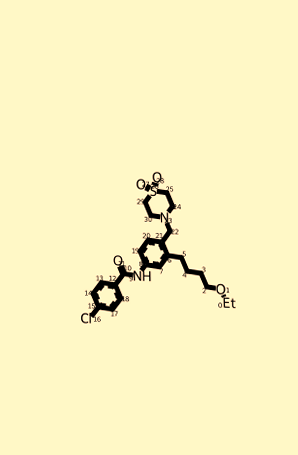 CCOCCCCc1cc(NC(=O)c2ccc(Cl)cc2)ccc1CN1CCS(=O)(=O)CC1